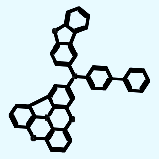 c1ccc(-c2ccc(N(c3ccc4oc5ccccc5c4c3)c3cc4c5c(c3)c3cccc6c3n5-c3c(cccc3O4)O6)cc2)cc1